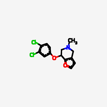 CN1Cc2ccoc2C(Oc2ccc(Cl)c(Cl)c2)C1